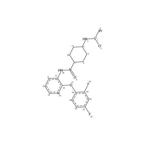 CC(C)[S+]([O-])NC1CCC(C(=O)Nc2cccnc2Oc2ccc(F)cc2F)CC1